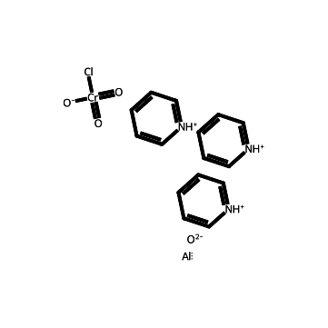 [Al].[O-2].[O]=[Cr](=[O])([O-])[Cl].c1cc[nH+]cc1.c1cc[nH+]cc1.c1cc[nH+]cc1